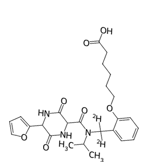 [2H]C([2H])(c1ccccc1OCCCCCC(=O)O)N(C(=O)C1NC(=O)C(c2ccco2)NC1=O)C(C)C